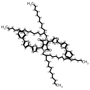 CCCCCCCCCCCCC(CCCCCCCCCC)CN1C(=O)C2=C(c3cnc(-c4ccc(-c5ccccc5)s4)s3)N(CC(CCCCCCCCCC)CCCCCCCCCCCC)C(=O)C2=C1c1cnc(-c2ccc(-c3ccccc3)s2)s1